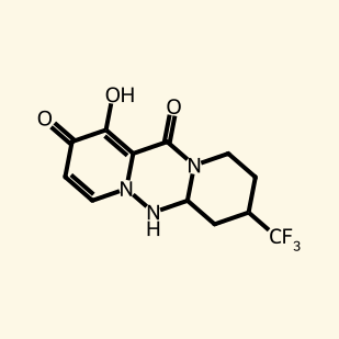 O=C1c2c(O)c(=O)ccn2NC2CC(C(F)(F)F)CCN12